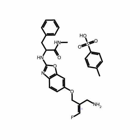 CNC(=O)C(Cc1ccccc1)Nc1nc2ccc(OC/C(=C\F)CN)cc2o1.Cc1ccc(S(=O)(=O)O)cc1